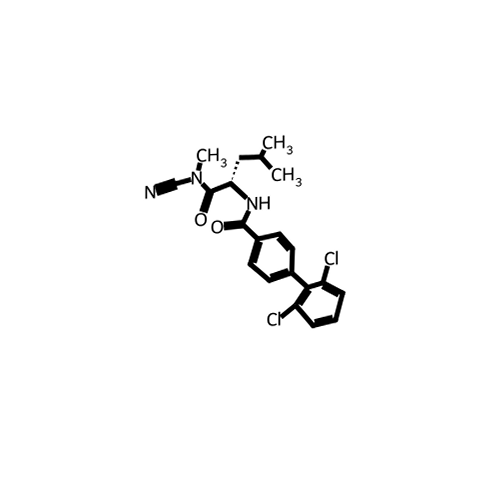 CC(C)C[C@H](NC(=O)c1ccc(-c2c(Cl)cccc2Cl)cc1)C(=O)N(C)C#N